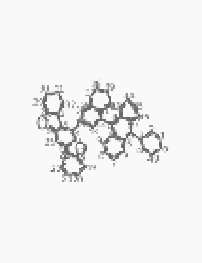 c1ccc(-c2c3ccccc3c(-c3cc(-c4c5oc6ccccc6c5cc5oc6ccccc6c45)cc4ccccc34)c3ccccc23)cc1